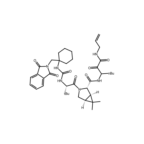 C=CCNC(=O)C(=O)C(CCCC)NC(=O)[C@@H]1[C@@H]2[C@H](CN1C(=O)[C@@H](NC(=O)NC1(CN3C(=O)c4ccccc4C3=O)CCCCC1)C(C)(C)C)C2(C)C